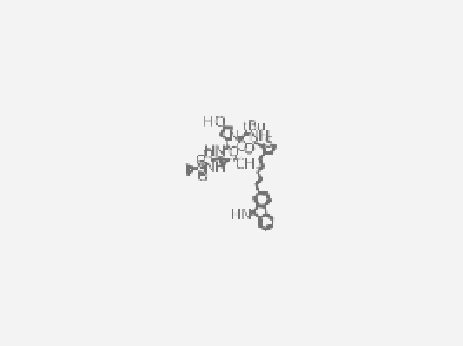 C=C[C@@H]1C[C@]1(NC(=O)[C@@H]1C[C@@H](O)CN1C(=O)[C@@H](NC(=O)c1sccc1CCC/C=C/c1ccc2c(c1)C(=N)c1ccccc1-2)C(C)(C)C)C(=O)NS(=O)(=O)C1CC1